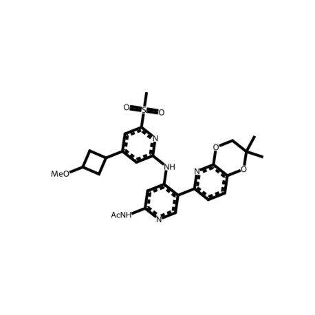 COC1CC(c2cc(Nc3cc(NC(C)=O)ncc3-c3ccc4c(n3)OCC(C)(C)O4)nc(S(C)(=O)=O)c2)C1